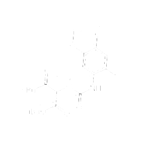 C=C(CCCC)C(OC(=O)Nc1cc(OC(C)C)c(Cl)cc1F)C(=O)OCC(C)C